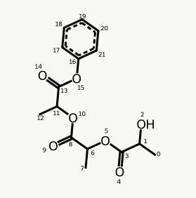 CC(O)C(=O)OC(C)C(=O)OC(C)C(=O)Oc1ccccc1